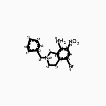 Nc1c([N+](=O)[O-])cc(Br)c2c1CN(Cc1ccccc1)CC2